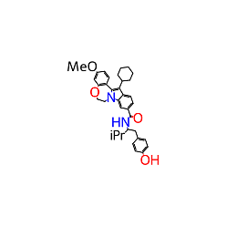 COc1ccc2c(c1)OCCn1c-2c(C2CCCCC2)c2ccc(C(=O)NC(Cc3ccc(O)cc3)C(C)C)cc21